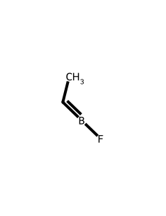 CC=BF